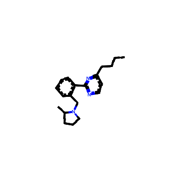 CCCCc1ccnc(-c2ccccc2CN2CCCC2C)n1